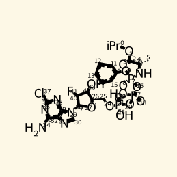 CC(C)OC(=O)[C@H](C)NP(=O)(Oc1ccccc1)OP(=O)(O)OP(=O)(O)OC[C@H]1O[C@@H](n2cnc3c(N)nc(Cl)nc32)C(F)C1O